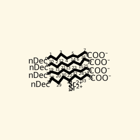 CCCCCCCCCCCCCCCCCC(=O)[O-].CCCCCCCCCCCCCCCCCC(=O)[O-].CCCCCCCCCCCCCCCCCC(=O)[O-].CCCCCCCCCCCCCCCCCC(=O)[O-].[Sr+2].[Sr+2]